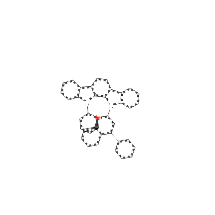 c1ccc(-c2cc(-n3c4ccccc4c4ccc5c6ccccc6n(-c6ccccc6)c5c43)nc3ccccc23)cc1